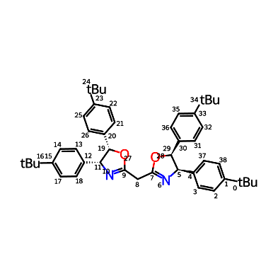 CC(C)(C)c1ccc([C@H]2N=C(CC3=N[C@H](c4ccc(C(C)(C)C)cc4)[C@H](c4ccc(C(C)(C)C)cc4)O3)O[C@H]2c2ccc(C(C)(C)C)cc2)cc1